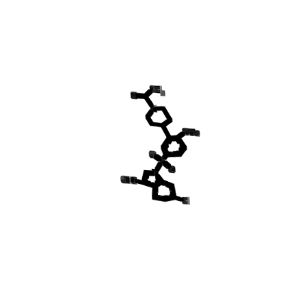 COc1ccc(S(=O)(=O)n2cc(C=O)c3ccc(Cl)cc32)cc1C1CCN(C(=O)C(Cl)(Cl)Cl)CC1